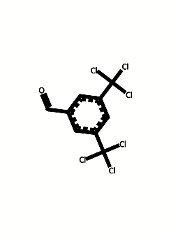 O=[C]c1cc(C(Cl)(Cl)Cl)cc(C(Cl)(Cl)Cl)c1